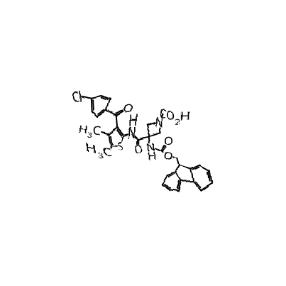 Cc1sc(NC(=O)C2(NC(=O)OCC3c4ccccc4-c4ccccc43)CN(C(=O)O)C2)c(C(=O)c2ccc(Cl)cc2)c1C